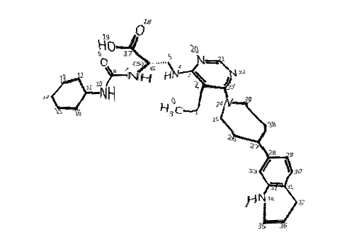 CCc1c(NC[C@H](NC(=O)NC2CCCCC2)C(=O)O)ncnc1N1CCC(c2ccc3c(c2)NCCC3)CC1